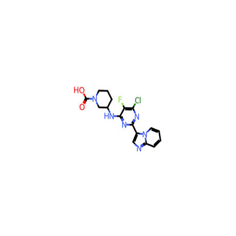 O=C(O)N1CCCC(Nc2nc(-c3cnc4ccccn34)nc(Cl)c2F)C1